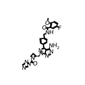 COc1ccc(F)cc1C(=O)NCc1ccc(-c2nn(C[C@@H]3CCN3C(=O)n3cncn3)c3ncnc(N)c23)cc1